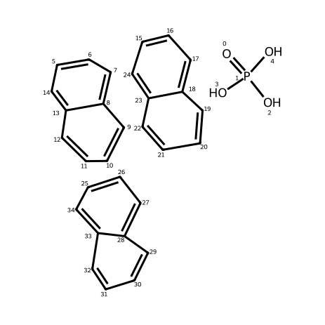 O=P(O)(O)O.c1ccc2ccccc2c1.c1ccc2ccccc2c1.c1ccc2ccccc2c1